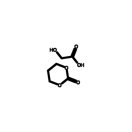 O=C(O)CO.O=C1OCCCO1